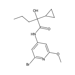 CCCC(O)(C(=O)Nc1cc(Br)nc(OC)c1)C1CC1